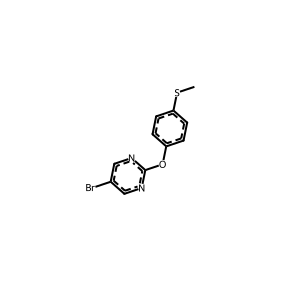 CSc1ccc(Oc2ncc(Br)cn2)cc1